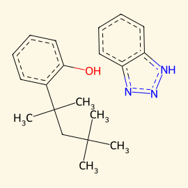 CC(C)(C)CC(C)(C)c1ccccc1O.c1ccc2[nH]nnc2c1